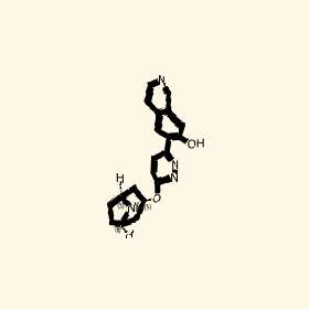 Oc1cc2cnccc2cc1-c1ccc(O[C@@H]2C[C@H]3CC[C@@H](C2)N3)nn1